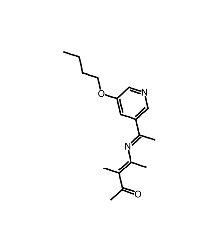 CCCCOc1cncc(/C(C)=N/C(C)=C(\C)C(C)=O)c1